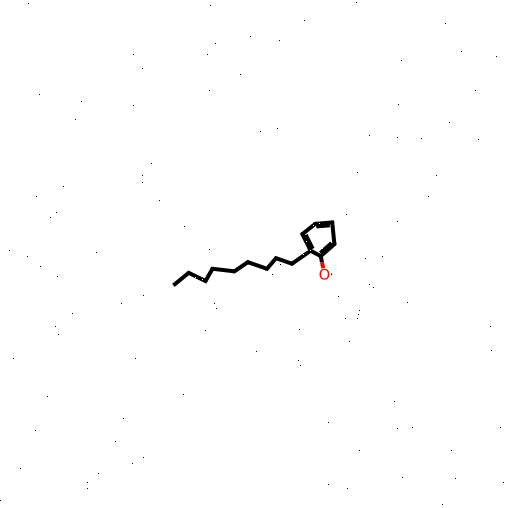 CCCCCCCCCc1ccccc1[O]